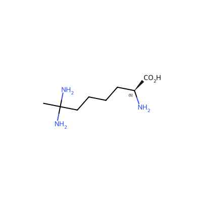 CC(N)(N)CCCC[C@H](N)C(=O)O